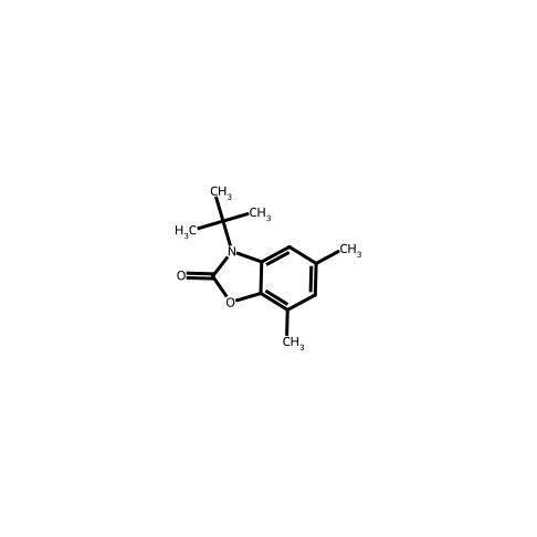 Cc1cc(C)c2oc(=O)n(C(C)(C)C)c2c1